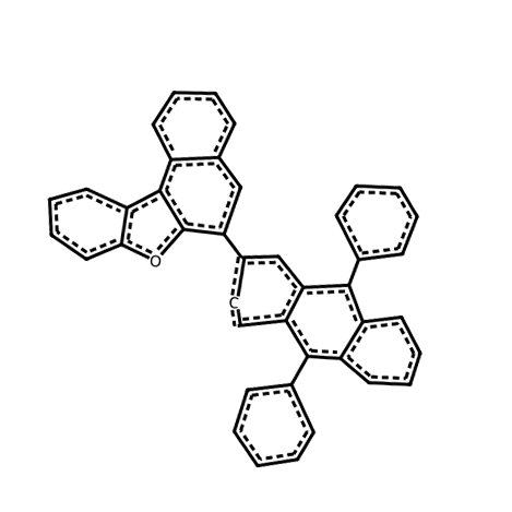 c1ccc(-c2c3ccccc3c(-c3ccccc3)c3cc(-c4cc5ccccc5c5c4oc4ccccc45)ccc23)cc1